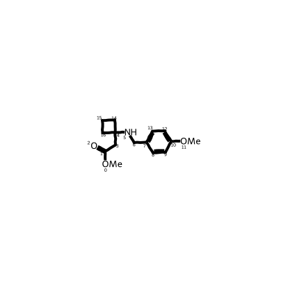 COC(=O)CC1(NCc2ccc(OC)cc2)CCC1